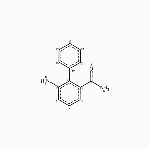 NC(=O)c1cccc(N)c1-c1ccccc1